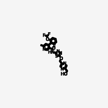 Cc1cc(-c2c(F)cccc2OC(F)F)c(C(=O)Nc2nnc(OCc3cnc(CO)cn3)s2)cn1